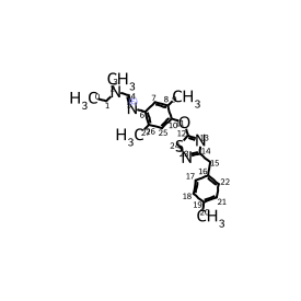 CCN(C)/C=N/c1cc(C)c(Oc2nc(Cc3ccc(C)cc3)ns2)cc1C